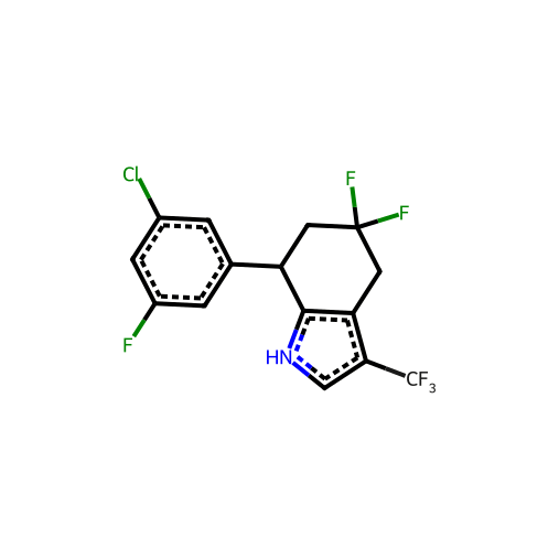 Fc1cc(Cl)cc(C2CC(F)(F)Cc3c(C(F)(F)F)c[nH]c32)c1